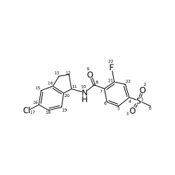 CS(=O)(=O)c1ccc(C(=O)NC2CCc3cc(Cl)ccc32)c(F)c1